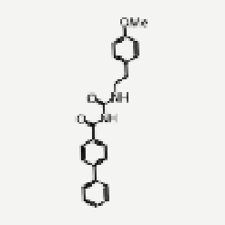 COc1ccc(CCNC(=O)NC(=O)c2ccc(-c3ccccc3)cc2)cc1